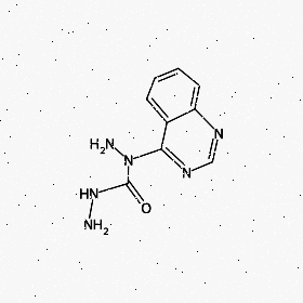 NNC(=O)N(N)c1ncnc2ccccc12